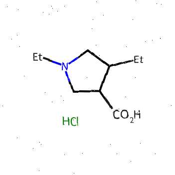 CCC1CN(CC)CC1C(=O)O.Cl